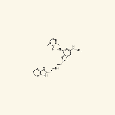 Cc1ccnc(CNc2nc(NN)nc3sc(CCNCCC4Nc5ccccc5N4)nc23)c1F